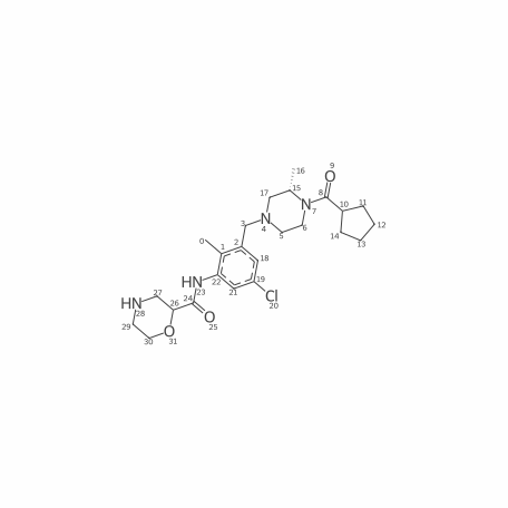 Cc1c(CN2CCN(C(=O)C3CCCC3)[C@@H](C)C2)cc(Cl)cc1NC(=O)C1CNCCO1